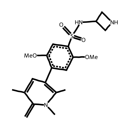 C=C1C(C)=CC(c2cc(OC)c(S(=O)(=O)NC3CNC3)cc2OC)=C(C)N1C